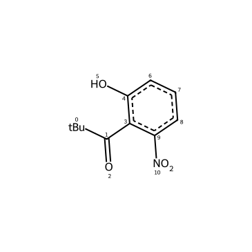 CC(C)(C)C(=O)c1c(O)cccc1[N+](=O)[O-]